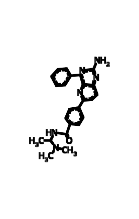 CC(NC(=O)c1ccc(-c2ccc3nc(N)nc(-c4ccccc4)c3n2)cc1)N(C)C